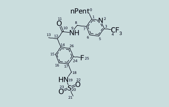 CCCCCc1nc(C(F)(F)F)ccc1CNC(=O)C(C)c1ccc(CNS(C)(=O)=O)c(F)c1